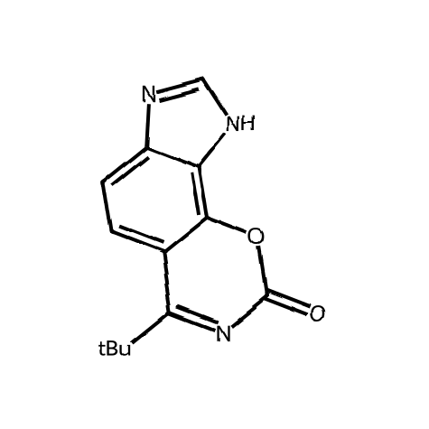 CC(C)(C)c1nc(=O)oc2c1ccc1nc[nH]c12